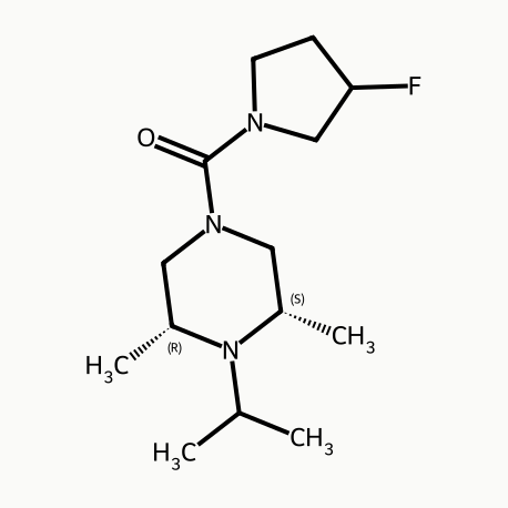 CC(C)N1[C@H](C)CN(C(=O)N2CCC(F)C2)C[C@@H]1C